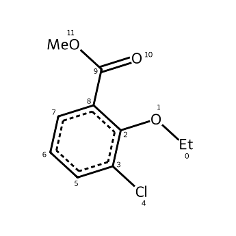 CCOc1c(Cl)cccc1C(=O)OC